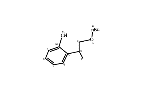 CCCCOCC(C)c1ccccc1C#N